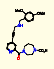 COc1ccc(CNCC#Cc2ccnc(C(=O)N3CCCN(C(=O)O)CC3)c2)c(OC)c1